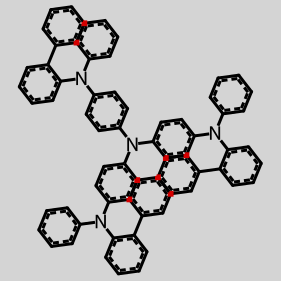 c1ccc(-c2ccccc2N(c2ccccc2)c2ccc(N(c3ccc(N(c4ccccc4)c4ccccc4-c4ccccc4)cc3)c3ccc(N(c4ccccc4)c4ccccc4-c4ccccc4)cc3)cc2)cc1